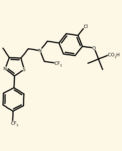 Cc1nc(-c2ccc(C(F)(F)F)cc2)sc1CN(Cc1ccc(OC(C)(C)C(=O)O)c(Cl)c1)CC(F)(F)F